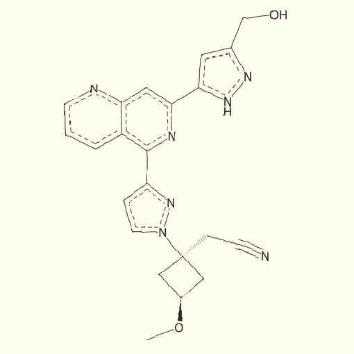 CO[C@H]1C[C@@](CC#N)(n2ccc(-c3nc(-c4cc(CO)n[nH]4)cc4ncccc34)n2)C1